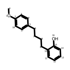 COc1ccc(CCCCc2ccccc2O)cc1